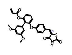 C=CC(=O)Oc1cccc(Oc2ccc(/C=C3/SC(=O)NC3=O)cc2)c1-c1cc(OC)cc(OC)c1